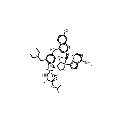 CCN(CC)Cc1cc(Nc2ccnc3cc(Cl)ccc23)ccc1OP(=O)(N[C@@H](C)C(=O)OC(C)C)OC[C@H]1O[C@@](C#N)(c2ccc3c(N)ncnn23)[C@H](O)[C@@H]1O